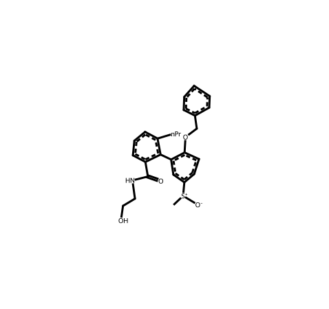 CCCc1cccc(C(=O)NCCO)c1-c1cc([S+](C)[O-])ccc1OCc1ccccc1